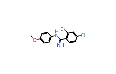 COc1ccc(NC(=N)c2ccc(Cl)cc2Cl)cc1